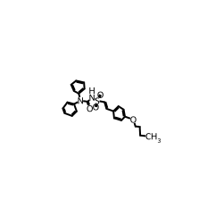 CCCCOc1ccc(C=CS(=O)(=O)NC(=O)N(c2ccccc2)c2ccccc2)cc1